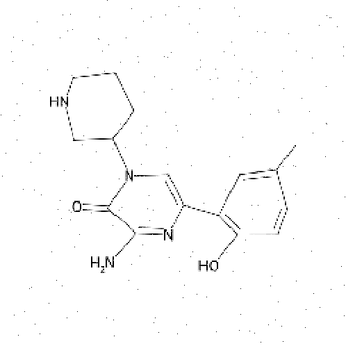 Cc1ccc(O)c(-c2cn(C3CCCNC3)c(=O)c(N)n2)c1